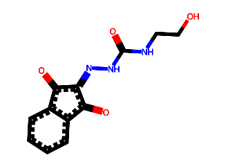 O=C(NCCO)NN=c1c(=O)c2ccccc2c1=O